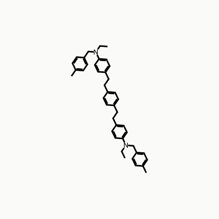 CCN(Cc1ccc(C)cc1)c1ccc(CCc2ccc(CCc3ccc(N(CC)Cc4ccc(C)cc4)cc3)cc2)cc1